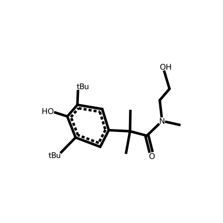 CN(CCO)C(=O)C(C)(C)c1cc(C(C)(C)C)c(O)c(C(C)(C)C)c1